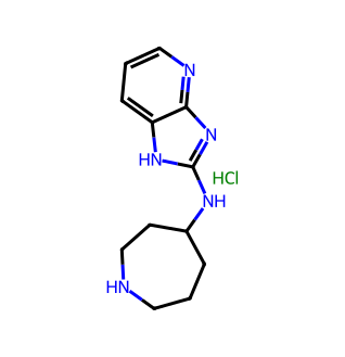 Cl.c1cnc2nc(NC3CCCNCC3)[nH]c2c1